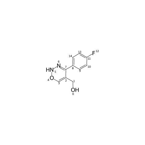 OCC1=CONN=C1c1ccc(F)cc1